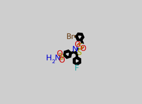 NS(=O)(=O)c1ccc(-c2nc(S(=O)(=O)Cc3cccc(Br)c3)sc2-c2ccc(F)cc2)cc1